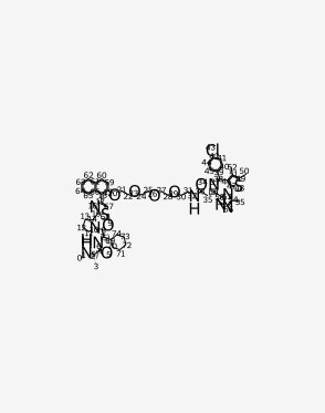 CN[C@@H](C)C(=O)N[C@H](C(=O)N1CCCC1c1nc(-c2c(OCCOCCOCCOCCNC(=O)C[C@@H]3N=C(c4ccc(Cl)cc4)c4c(sc(C)c4C)-n4c(C)nnc43)ccc3ccccc23)cs1)C1CCCCC1